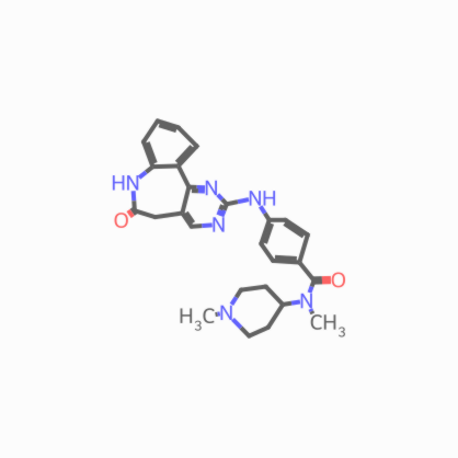 CN1CCC(N(C)C(=O)c2ccc(Nc3ncc4c(n3)-c3ccccc3NC(=O)C4)cc2)CC1